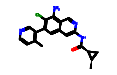 Cc1ccncc1-c1cc2cc(NC(=O)[C@H]3C[C@@H]3C)ncc2c(N)c1Cl